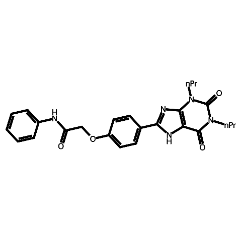 CCCn1c(=O)c2[nH]c(-c3ccc(OCC(=O)Nc4ccccc4)cc3)nc2n(CCC)c1=O